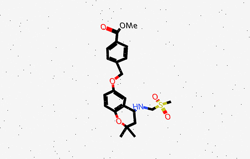 COC(=O)c1ccc(COc2ccc3c(c2)C(NCS(C)(=O)=O)CC(C)(C)O3)cc1